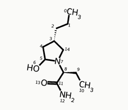 CCC[C@H]1CC(O)N([C@@H](CC)C(N)=O)C1